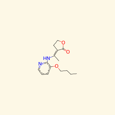 CCCCOc1cccnc1N/C(C)=C1\CCOC1=O